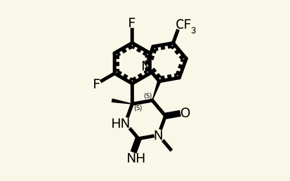 CN1C(=N)N[C@](C)(c2ccc(F)cc2F)[C@@H](c2ccc(C(F)(F)F)cn2)C1=O